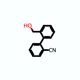 N#Cc1ccccc1-c1ccccc1CO